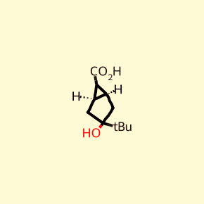 CC(C)(C)C1(O)C[C@@H]2C(C(=O)O)[C@@H]2C1